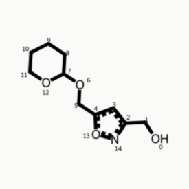 OCc1cc(COC2CCCCO2)on1